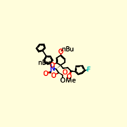 CCCCOC1=CCC(CCC(=O)c2ccc(F)cc2)([C@@H]2[C@@H](C(=O)OC)OC(=O)N2c2ccc(-c3ccccc3)cc2)C(OCCCC)=C1